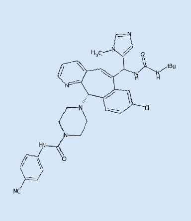 Cn1cncc1C(NC(=O)NC(C)(C)C)C1=Cc2cccnc2[C@@H](N2CCN(C(=O)Nc3ccc(C#N)cc3)CC2)c2ccc(Cl)cc21